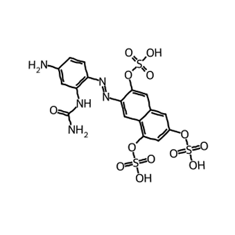 NC(=O)Nc1cc(N)ccc1N=Nc1cc2c(OS(=O)(=O)O)cc(OS(=O)(=O)O)cc2cc1OS(=O)(=O)O